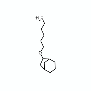 [CH2]CCCCCOC1CC2CCCC1C2